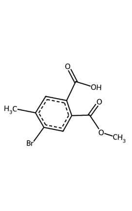 COC(=O)c1cc(Br)c(C)cc1C(=O)O